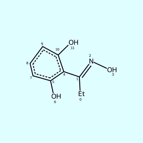 CCC(=NO)c1c(O)cccc1O